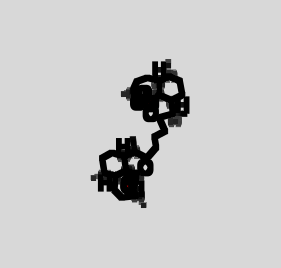 C[C@@H]1CC[C@H]2[C@@H](C)C(CCCC3O[C@@H]4O[C@]5(C)CC[C@H]6[C@H](C)CC[C@@H]([C@H]3C)[C@@]46OO5)O[C@@H]3O[C@]4(C)CC[C@@H]1[C@]32OO4